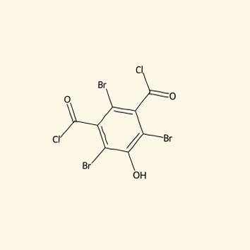 O=C(Cl)c1c(Br)c(O)c(Br)c(C(=O)Cl)c1Br